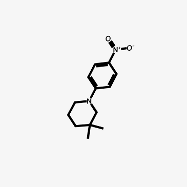 CC1(C)CCCN(c2ccc([N+](=O)[O-])cc2)C1